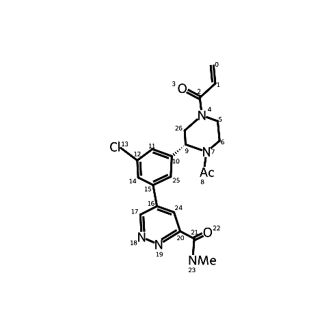 C=CC(=O)N1CCN(C(C)=O)[C@H](c2cc(Cl)cc(-c3cnnc(C(=O)NC)c3)c2)C1